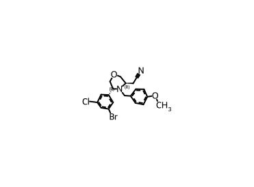 COc1ccc(CN2[C@H](CC#N)COC[C@H]2c2cc(Cl)cc(Br)c2)cc1